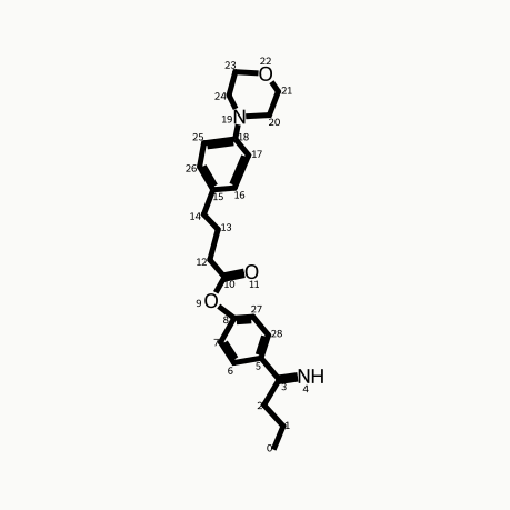 CCCC(=N)c1ccc(OC(=O)CCCc2ccc(N3CCOCC3)cc2)cc1